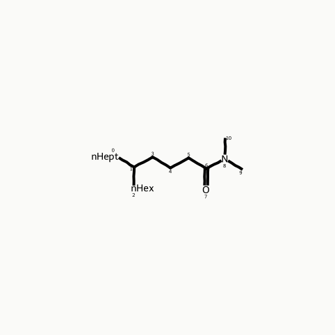 CCCCCCCC(CCCCCC)CCCC(=O)N(C)C